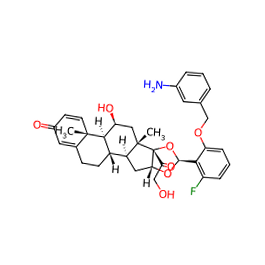 C[C@]12C=CC(=O)C=C1CC[C@@H]1[C@@H]2[C@@H](O)C[C@@]2(C)[C@H]1C[C@H]1O[C@H](c3c(F)cccc3OCc3cccc(N)c3)O[C@]12C(=O)CO